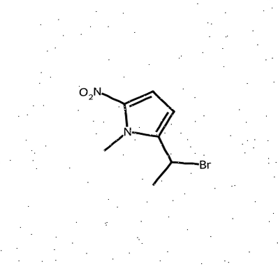 CC(Br)c1ccc([N+](=O)[O-])n1C